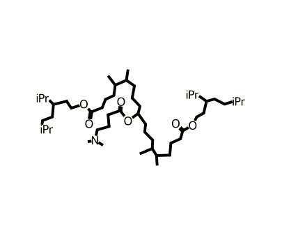 CC(C)CCC(CCOC(=O)CCCC(C)C(C)CCCC(CCCC(C)C(C)CCCC(=O)OCCC(CCC(C)C)C(C)C)OC(=O)CCCN(C)C)C(C)C